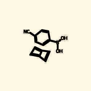 N#Cc1ccc(B(O)O)cc1.c1cc2ccc1-2